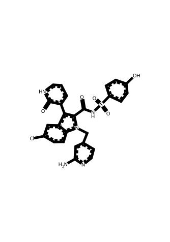 Nc1cc(Cn2c(C(=O)NS(=O)(=O)c3ccc(O)cc3)c(-c3ccc[nH]c3=O)c3cc(Cl)ccc32)ccn1